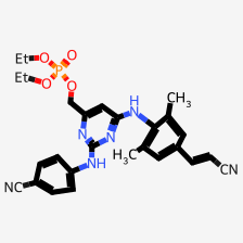 CCOP(=O)(OCC)OCc1cc(Nc2c(C)cc(/C=C/C#N)cc2C)nc(Nc2ccc(C#N)cc2)n1